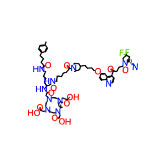 Cc1ccc(CCCC(=O)NCCCCC(NC(=O)CN2CCN(CC(=O)O)CCN(CC(=O)O)CCN(CC(=O)O)CC2)C(=O)NCCCCCC(=O)N2CCC(CCCCOc3ccc4nccc(C(=O)CCC(=O)N5CC(F)(F)C[C@@H]5C#N)c4c3)CC2)cc1